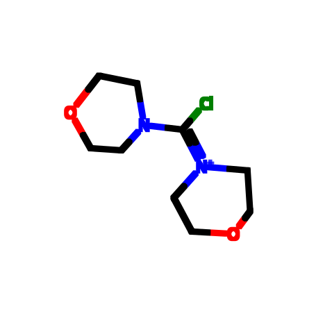 ClC(N1CCOCC1)=[N+]1CCOCC1